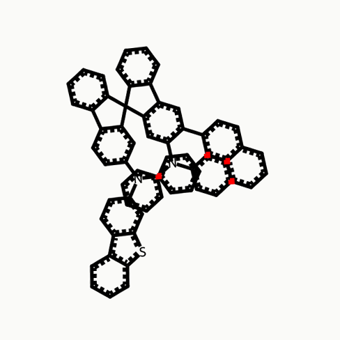 c1ccc(N(c2ccc3c(c2)C2(c4ccccc4-3)c3ccccc3-c3cc(-c4ccc5ccccc5c4)c(N(c4ccccc4)c4ccccc4)cc32)c2ccc3c(c2)sc2ccccc23)cc1